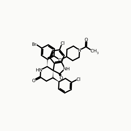 CC(=O)N1CCC(Oc2ccc(Br)cc2[C@H]2NC(=O)CC([C@@H]3C=CC=C(Cl)C3)[C@]23C(=O)Nc2cc(Cl)ccc23)CC1